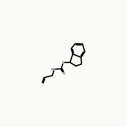 C=CCNC(=O)OC1CCc2ccccc21